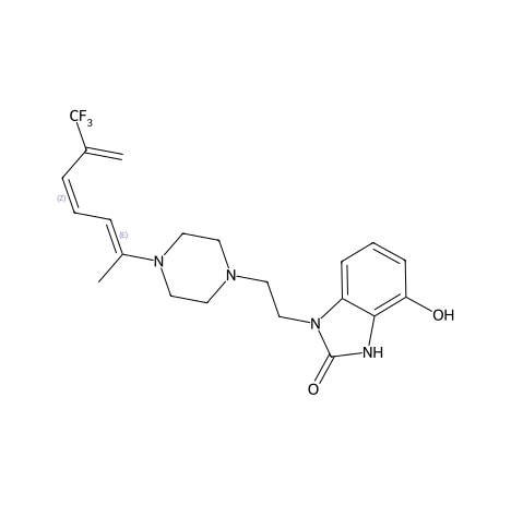 C=C(/C=C\C=C(/C)N1CCN(CCn2c(=O)[nH]c3c(O)cccc32)CC1)C(F)(F)F